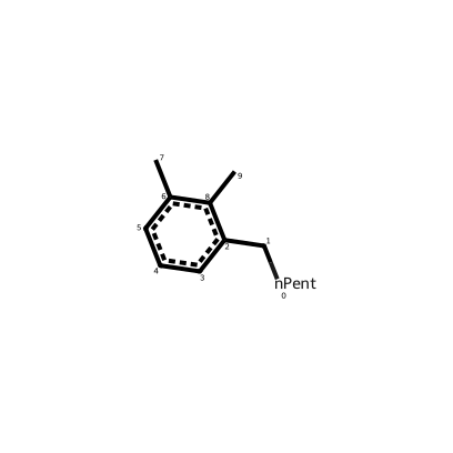 [CH2]CCCCCc1cccc(C)c1C